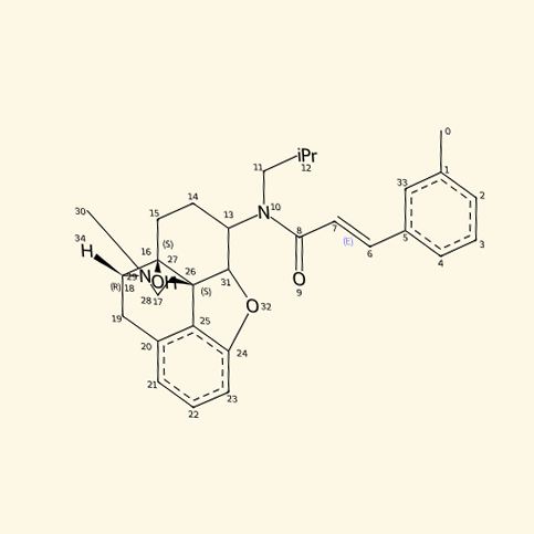 Cc1cccc(/C=C/C(=O)N(CC(C)C)C2CC[C@@]3(O)[C@H]4Cc5cccc6c5[C@@]3(CCN4C)C2O6)c1